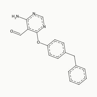 Nc1ncnc(Oc2ccc(Cc3ccccc3)cc2)c1C=O